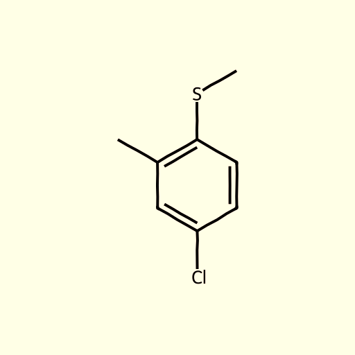 CSc1ccc(Cl)cc1C